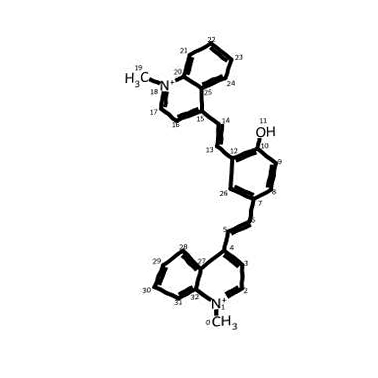 C[n+]1ccc(/C=C/c2ccc(O)c(/C=C/c3cc[n+](C)c4ccccc34)c2)c2ccccc21